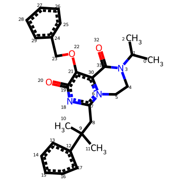 CC(C)N1CCn2c(CC(C)(C)c3ccccc3)nc(=O)c(OCc3ccccc3)c2C1=O